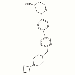 O=CN1CCOC(c2ccc(-c3ccc(CC4CCN(C5CCC5)CC4)nc3)cc2)C1